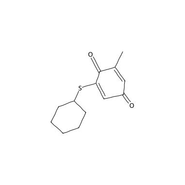 CC1=CC(=O)C=C(SC2CCCCC2)C1=O